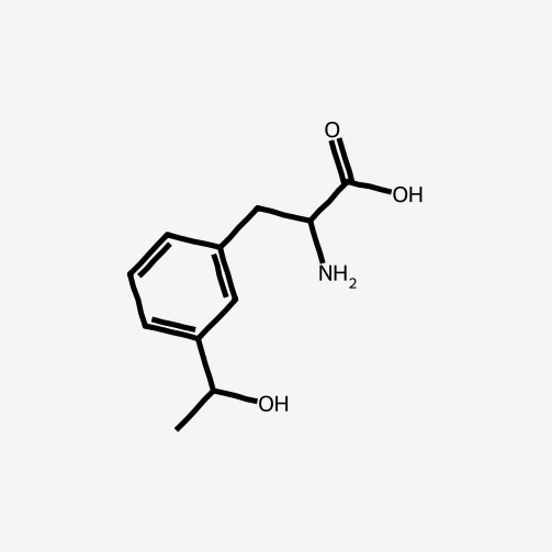 CC(O)c1cccc(CC(N)C(=O)O)c1